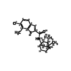 Cc1c(Cl)ccc2cc(C(=O)N[C@@H]3C4CCN(CC4)C3(C)C)sc12